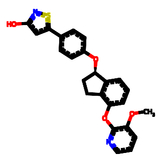 COc1cccnc1Oc1cccc2c1CC[C@H]2Oc1ccc(-c2cc(O)ns2)cc1